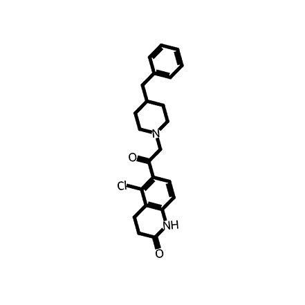 O=C1CCc2c(ccc(C(=O)CN3CCC(Cc4ccccc4)CC3)c2Cl)N1